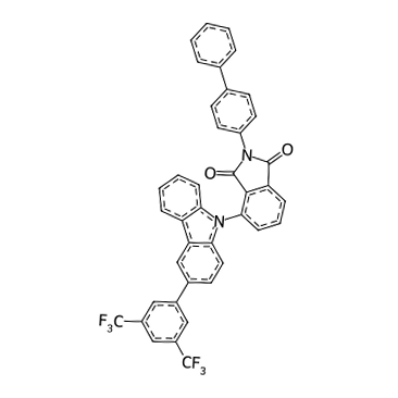 O=C1c2cccc(-n3c4ccccc4c4cc(-c5cc(C(F)(F)F)cc(C(F)(F)F)c5)ccc43)c2C(=O)N1c1ccc(-c2ccccc2)cc1